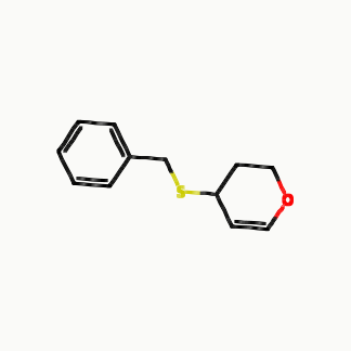 C1=CC(SCc2ccccc2)CCO1